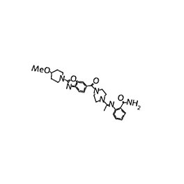 COC1CCN(c2nc3ccc(C(=O)N4CCN(/C(C)=N/c5ccccc5C(N)=O)CC4)cc3o2)CC1